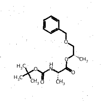 C[C@H](NC(=O)OC(C)(C)C)C(=O)O[C@@H](C)COCc1ccccc1